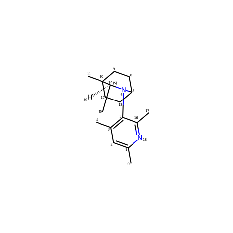 Cc1cc(C)c(N2C3CCC(C)(CC3)[C@@H]2C)c(C)n1